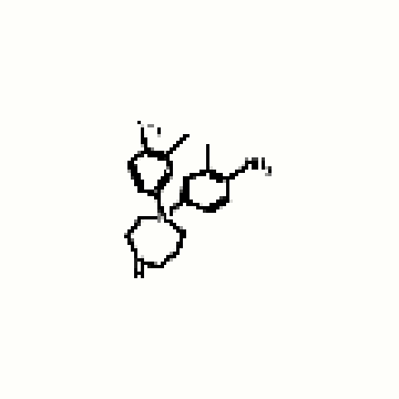 Cc1cc([N+]2(c3ccc(N)c(C)c3)CCCNCC2)ccc1N